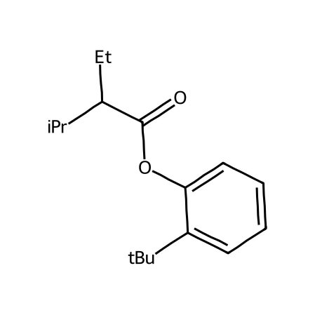 CCC(C(=O)Oc1ccccc1C(C)(C)C)C(C)C